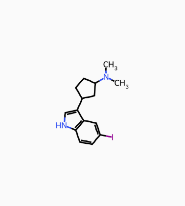 CN(C)C1CCC(c2c[nH]c3ccc(I)cc23)C1